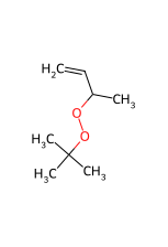 C=CC(C)OOC(C)(C)C